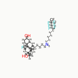 CN(CCCCCCC(F)(F)C(F)(F)C(F)(F)C(F)(F)F)CCCCC[C@@H]1Cc2cc(O)ccc2[C@@H]2[C@@H]1[C@@H]1CC[C@](C)(O)[C@@]1(C)C[C@@H]2F